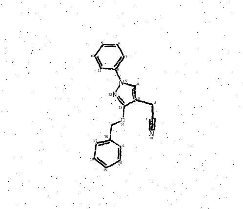 N#CCc1cn(-c2ccccc2)nc1OCc1ccccc1